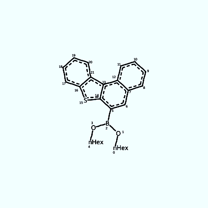 CCCCCCOB(OCCCCCC)c1cc2ccccc2c2c1sc1ccccc12